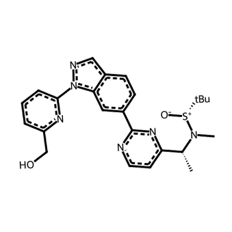 C[C@H](c1ccnc(-c2ccc3cnn(-c4cccc(CO)n4)c3c2)n1)N(C)[S@+]([O-])C(C)(C)C